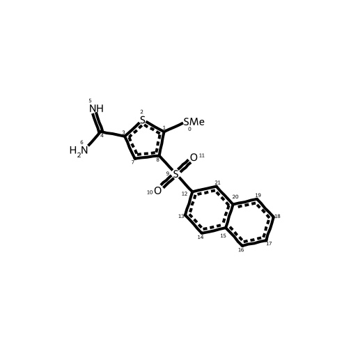 CSc1sc(C(=N)N)cc1S(=O)(=O)c1ccc2ccccc2c1